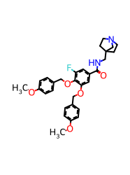 COc1ccc(COc2cc(C(=O)NCC34CCN(CC3)C4)cc(F)c2OCc2ccc(OC)cc2)cc1